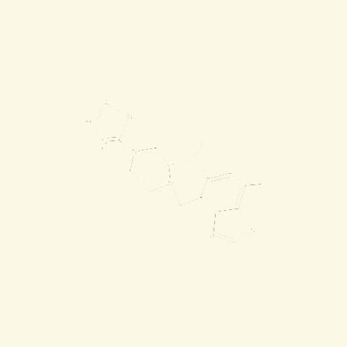 COc1cc(C)c2[nH]ccc2c1CN1CCN(c2ncc[nH]2)CC1